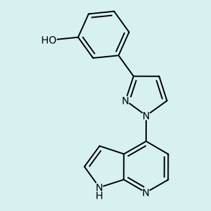 Oc1cccc(-c2ccn(-c3ccnc4[nH]ccc34)n2)c1